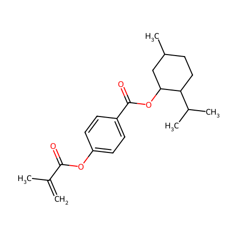 C=C(C)C(=O)Oc1ccc(C(=O)OC2CC(C)CCC2C(C)C)cc1